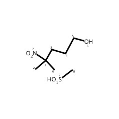 CC(C)(CCCO)[N+](=O)[O-].CS(=O)(=O)O